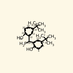 CC(C)(C)c1ccc(O)c(C(P)c2cc(C(C)(C)C)ccc2O)c1